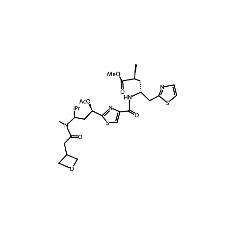 COC(=O)[C@@H](C)C[C@H](Cc1nccs1)NC(=O)c1csc([C@@H](CC(C(C)C)N(C)C(=O)CC2COC2)OC(C)=O)n1